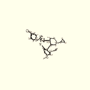 COc1cc(F)c(C2CN(C3CC3)CCC2NC(=O)Nc2ccc(Cl)cc2)c(F)c1